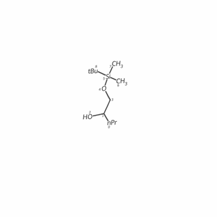 CCCC(O)CO[Si](C)(C)C(C)(C)C